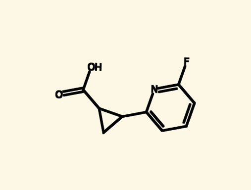 O=C(O)C1CC1c1cccc(F)n1